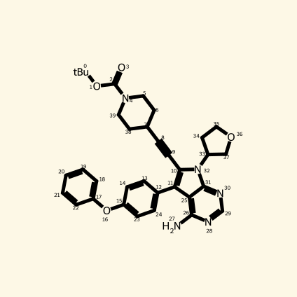 CC(C)(C)OC(=O)N1CCC(C#Cc2c(-c3ccc(Oc4ccccc4)cc3)c3c(N)ncnc3n2C2CCOC2)CC1